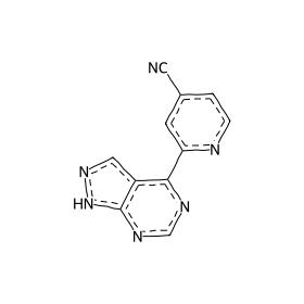 N#Cc1ccnc(-c2ncnc3[nH]ncc23)c1